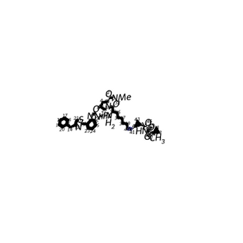 CNC(=O)[C@@H]1C[C@@H](Oc2nc3c(-c4nc(Cc5ccccc5)cs4)cccc3n2C(C)C)CN1C(=O)[C@@H](N)CCCCC/C=C\[C@@H]1C[C@@H]1C(=O)NS(=O)(=O)C1(C)CC1